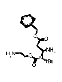 CC(C)(C)N(C(=O)OCCN)C(N)CC(=O)OCc1ccccc1